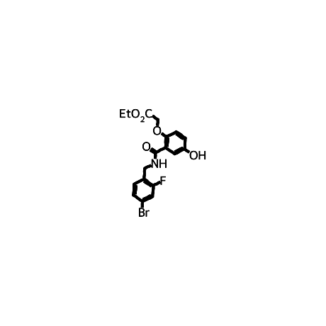 CCOC(=O)COc1ccc(O)cc1C(=O)NCc1ccc(Br)cc1F